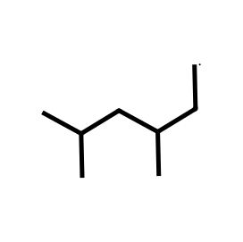 [CH2]CC(C)CC(C)C